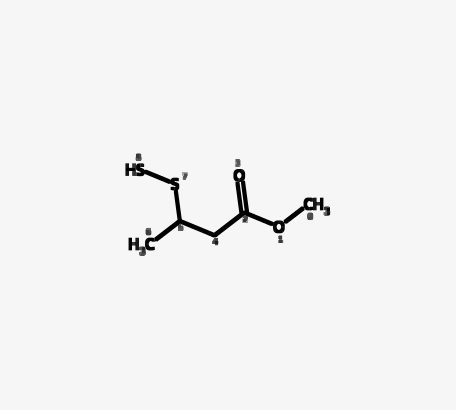 COC(=O)CC(C)SS